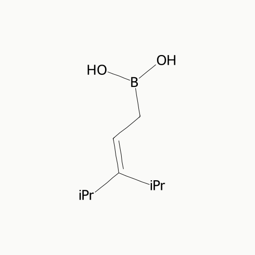 CC(C)C(=CCB(O)O)C(C)C